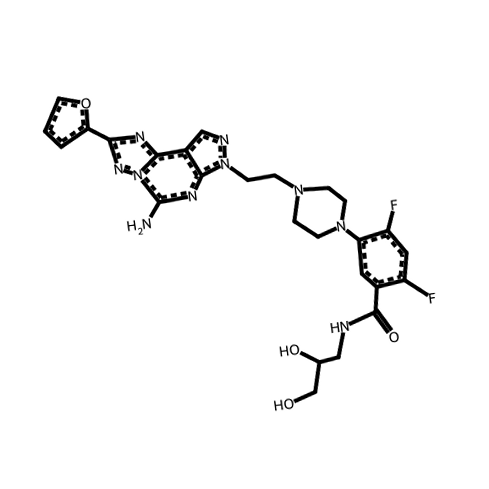 Nc1nc2c(cnn2CCN2CCN(c3cc(C(=O)NCC(O)CO)c(F)cc3F)CC2)c2nc(-c3ccco3)nn12